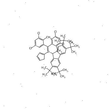 Cc1c(Cl)cc(Cl)cc1[C](c1cc(Cl)cc(Cl)c1C)=[Zr]([C]1=CC=CC1)[CH]1c2cc(C(C)(C)C)c(C(C)(C)C)cc2-c2cc(C(C)(C)C)c(C(C)(C)C)cc21